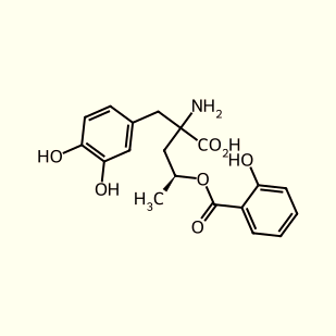 C[C@@H](CC(N)(Cc1ccc(O)c(O)c1)C(=O)O)OC(=O)c1ccccc1O